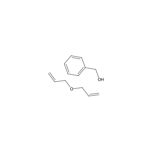 C=CCOCC=C.OCc1ccccc1